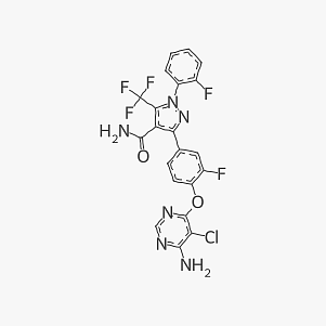 NC(=O)c1c(-c2ccc(Oc3ncnc(N)c3Cl)c(F)c2)nn(-c2ccccc2F)c1C(F)(F)F